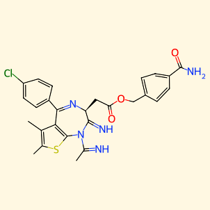 CC(=N)N1C(=N)[C@H](CC(=O)OCc2ccc(C(N)=O)cc2)N=C(c2ccc(Cl)cc2)c2c1sc(C)c2C